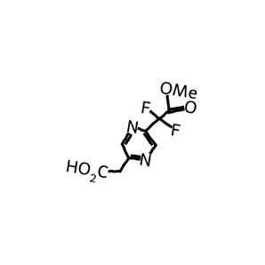 COC(=O)C(F)(F)c1cnc(CC(=O)O)cn1